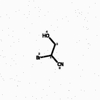 N#CC(Br)CO